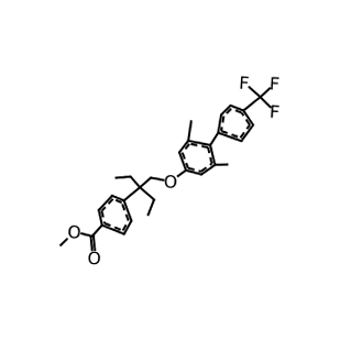 CCC(CC)(COc1cc(C)c(-c2ccc(C(F)(F)F)cc2)c(C)c1)c1ccc(C(=O)OC)cc1